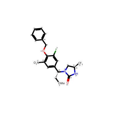 COC[C@H](c1cc(F)c(OCc2ccccc2)c([N+](=O)[O-])c1)N1C[C@@H](C(F)(F)F)NC1=O